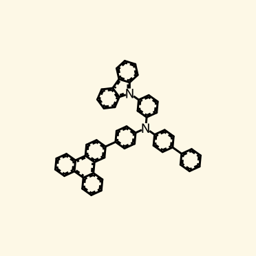 c1ccc(-c2ccc(N(c3ccc(-c4ccc5c6ccccc6c6ccccc6c5c4)cc3)c3cccc(-n4c5ccccc5c5ccccc54)c3)cc2)cc1